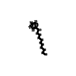 CCCCCCCCCCCC1=C[N]C=CO1